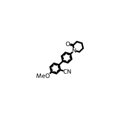 COc1ccc(-c2ccc(N3CCCCC3=O)cc2)c(C#N)c1